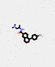 CC(CN(C)C)NC(=O)c1ccc2c(-c3ccc(C(F)(F)F)cc3)cccc2c1